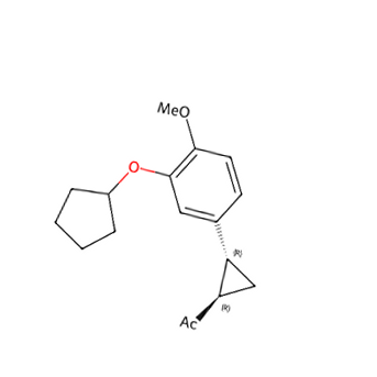 COc1ccc([C@@H]2C[C@H]2C(C)=O)cc1OC1CCCC1